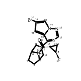 O=C([C@@H]1C[C@H]1F)N1C2CCC1CN(c1ncnn3cc(Br)cc13)C2